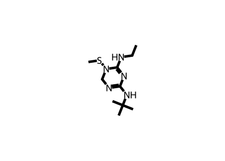 CCNC1=NC(NC(C)(C)C)=NCN1SC